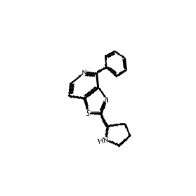 c1ccc(-c2nccc3sc(C4CCCN4)nc23)cc1